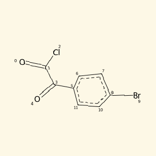 O=C(Cl)C(=O)c1ccc(Br)cc1